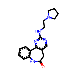 O=C1Cc2cnc(NCCN3CCCC3)nc2-c2ccccc2N1